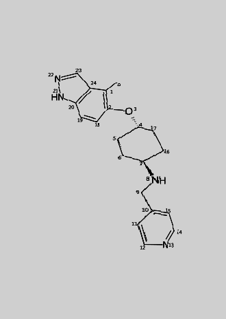 Cc1c(O[C@H]2CC[C@H](NCc3ccncc3)CC2)ccc2[nH]ncc12